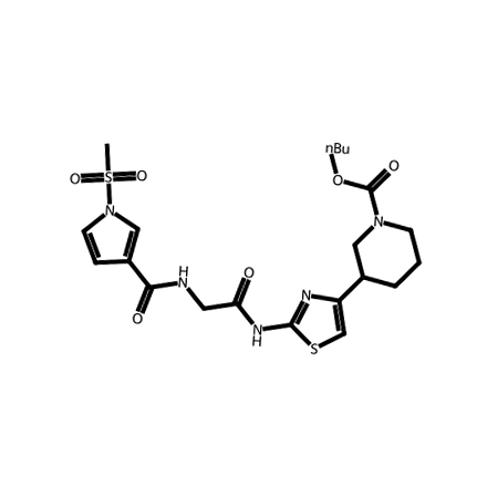 CCCCOC(=O)N1CCCC(c2csc(NC(=O)CNC(=O)c3ccn(S(C)(=O)=O)c3)n2)C1